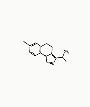 CC(N)c1ncn2c1CCc1cc(Cl)ccc1-2